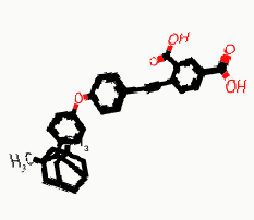 CC12CC3CC(C1)C(c1ccc(Oc4ccc(C#Cc5ccc(C(=O)O)cc5C(=O)O)cc4)cc1)C(C)(C3)C2